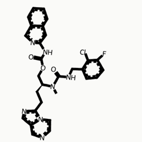 CN(C(=O)NCc1cccc(F)c1Cl)[C@@H](CCc1ncc2cnccn12)COC(=O)Nc1cc2ccccc2cn1